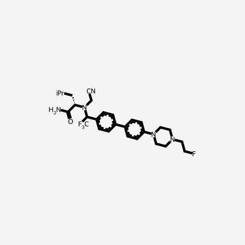 CC(C)C[C@@H](C(N)=O)N(CC#N)C(c1ccc(-c2ccc(N3CCN(CCF)CC3)cc2)cc1)C(F)(F)F